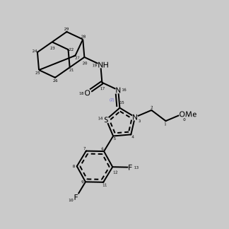 COCCn1cc(-c2ccc(F)cc2F)s/c1=N\C(=O)NC1C2CC3CC(C2)CC1C3